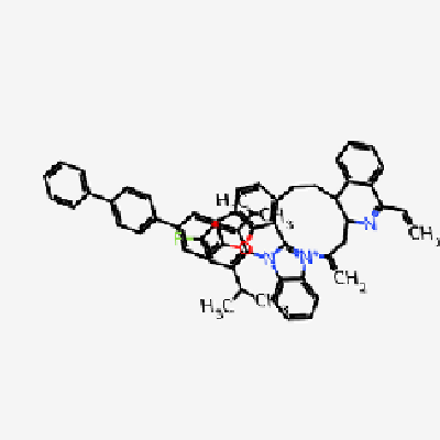 C=CC1=NC2CC(=C)[n+]3c(n(-c4c(C(C)C)cc(F)cc4C(C)C)c4ccccc43)-c3c(ccc4c3oc3ccc(-c5ccc(-c6ccccc6)cc5)cc34)CCC2c2ccccc21